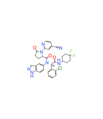 N#Cc1ccnc(N2C(=O)CCC2C(=O)N(c2ccc3[nH]ncc3c2)[C@H](C(=O)NC2CCC(F)(F)CC2)c2ccccc2Cl)c1